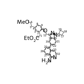 CCOC(=O)Cc1cc(CCOC)ccc1OCc1nn(C2CCC2)c2ccc(-c3cccc4c(N)nccc34)cc12